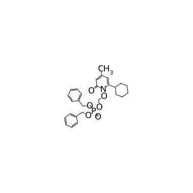 Cc1cc(C2CCCCC2)n(OCOP(=O)(OCc2ccccc2)OCc2ccccc2)c(=O)c1